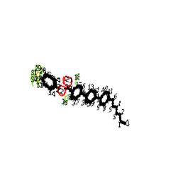 CCCCCCCc1ccc(-c2ccc(-c3cc(F)c(C(=O)Oc4ccc(S(F)(F)(F)(F)F)cc4)c(F)c3)cc2)cc1